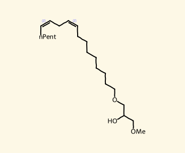 CCCCC/C=C\C/C=C\CCCCCCCCOCC(O)COC